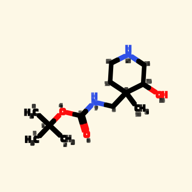 CC(C)(C)OC(=O)NCC1(C)CCNCC1O